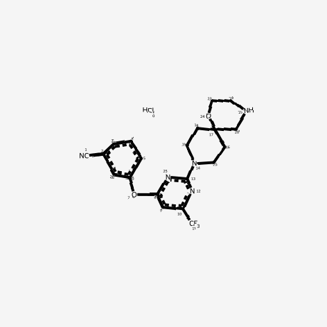 Cl.N#Cc1cccc(Oc2cc(C(F)(F)F)nc(N3CCC4(CC3)CNCCO4)n2)c1